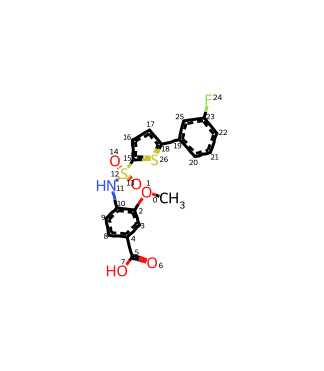 COc1cc(C(=O)O)ccc1NS(=O)(=O)c1ccc(-c2cccc(F)c2)s1